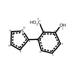 O=C(O)c1c(O)cccc1-c1cccs1